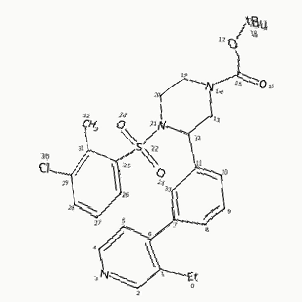 CCc1cnccc1-c1cccc(C2CN(C(=O)OC(C)(C)C)CCN2S(=O)(=O)c2cccc(Cl)c2C)c1